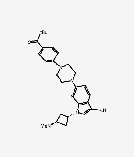 CN[C@H]1C[C@H](n2cc(C#N)c3ccc(N4CCN(c5ccc(C(=O)C(C)(C)C)cc5)CC4)nc32)C1